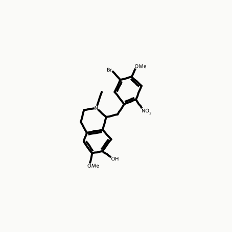 COc1cc2c(cc1O)C(Cc1cc(Br)c(OC)cc1[N+](=O)[O-])N(C)CC2